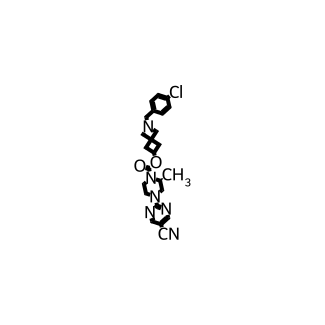 C[C@@H]1CN(c2ncc(C#N)cn2)CCN1C(=O)OC1CC2(C1)CN(Cc1ccc(Cl)cc1)C2